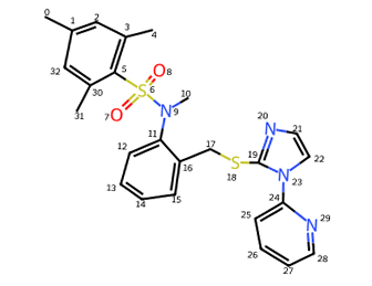 Cc1cc(C)c(S(=O)(=O)N(C)c2ccccc2CSc2nccn2-c2ccccn2)c(C)c1